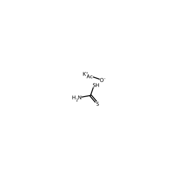 CC(=O)[O-].NC(=S)S.[K+]